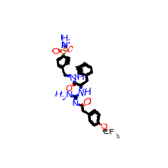 NC(=NC(=O)Cc1ccc(OC(F)(F)F)cc1)NC(Cc1ccccc1)C(=O)NCc1ccc(S(N)(=O)=O)cc1